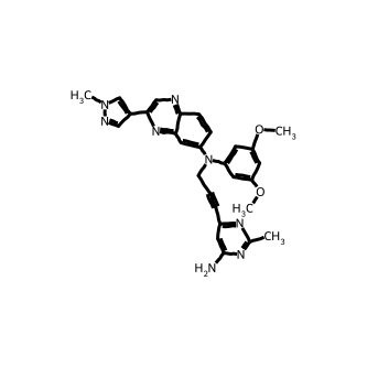 COc1cc(OC)cc(N(CC#Cc2cc(N)nc(C)n2)c2ccc3ncc(-c4cnn(C)c4)nc3c2)c1